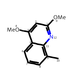 COc1cc(OC)c2cccc(C)c2n1